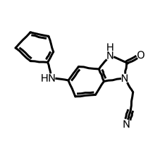 N#CCn1c(=O)[nH]c2cc(Nc3ccccc3)ccc21